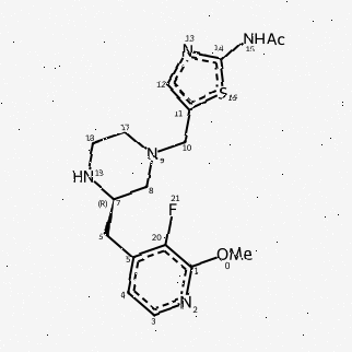 COc1nccc(C[C@@H]2CN(Cc3cnc(NC(C)=O)s3)CCN2)c1F